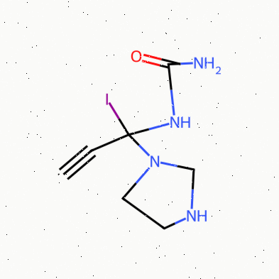 [C]#CC(I)(NC(N)=O)N1CCNC1